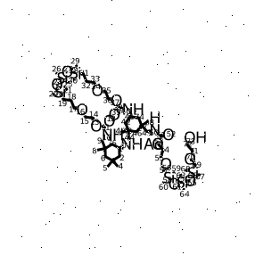 CC(=O)NC1CC(C)(C)CC(C)(CNC(=O)OCCOCCC[Si](C)(C)O[Si](C)(C)O[Si](C)(C)CCCOCCOC(=O)NC2CC(C)(C)CC(C)(CNC(=O)OCCOC[Si](C)(C)O[Si](C)(C)O[Si](C)(C)COCCO)C2)C1